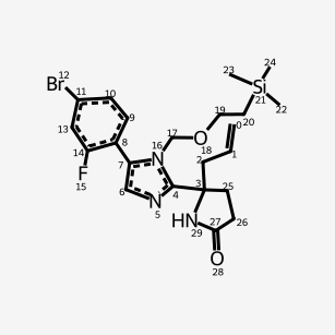 C=CCC1(c2ncc(-c3ccc(Br)cc3F)n2COCC[Si](C)(C)C)CCC(=O)N1